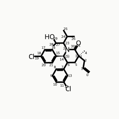 C=CC[C@@]1(C)CC(c2cccc(Cl)c2)[C@@H](c2ccc(Cl)cc2)N(C(C(C)C)C(C)O)C1=O